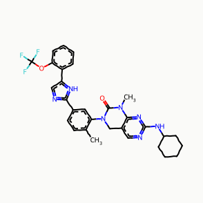 Cc1ccc(-c2ncc(-c3ccccc3OC(F)(F)F)[nH]2)cc1N1Cc2cnc(NC3CCCCC3)nc2N(C)C1=O